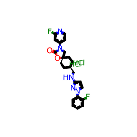 Cl.Cl.O=C1O[C@]2(CC[C@H](CNc3ccn(-c4ccccc4F)n3)CC2)CN1c1ccnc(F)c1